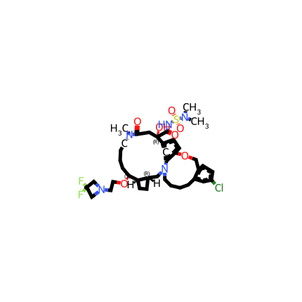 CN1CCCC[C@H](OCCN2CC(F)(F)C2)[C@@H]2CC[C@H]2CN2CCCCc3cc(Cl)ccc3COc3ccc(cc32)[C@@](O)(C(=O)NS(=O)(=O)N(C)C)CC1=O